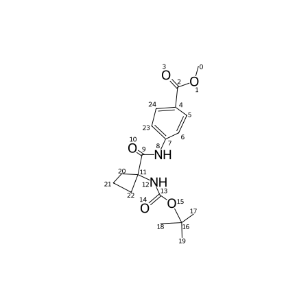 COC(=O)c1ccc(NC(=O)C2(NC(=O)OC(C)(C)C)CCC2)cc1